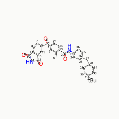 Cc1cc(C(=O)c2ccc3c(c2)C(=O)NC3=O)ccc1C(=O)Nc1ccc(Cc2ccc(C(C)(C)C)cc2)cc1